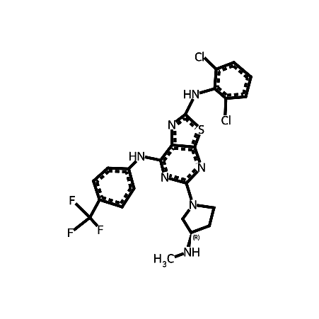 CN[C@@H]1CCN(c2nc(Nc3ccc(C(F)(F)F)cc3)c3nc(Nc4c(Cl)cccc4Cl)sc3n2)C1